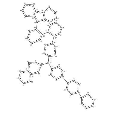 c1ccc(-c2ccc(-c3ccc(N(c4ccc(-c5ccccc5-c5ccccc5-n5c6ccccc6c6ccccc65)cc4)c4ccc5ccccc5c4)cc3)cc2)cc1